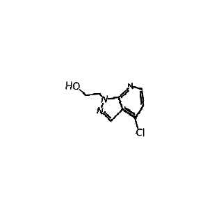 OCCn1ncc2c(Cl)ccnc21